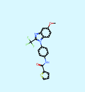 COc1ccc2c(c1)nc(C(F)(F)F)n2-c1ccc(NC(=O)c2cccs2)cc1